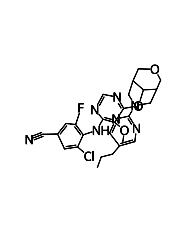 CCCc1cnc(N2CC3COCC(C2)C3Oc2ncnc(Nc3c(F)cc(C#N)cc3Cl)c2OC)nc1